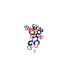 CC(C)(C)[Si](C)(C)O[C@H]1CC2(CCC2)Cc2c1c1c(c(C3CCOCC3)[n+]2[O-])[C@@H](c2ccc(C(F)(F)F)cn2)OC12CCOCC2